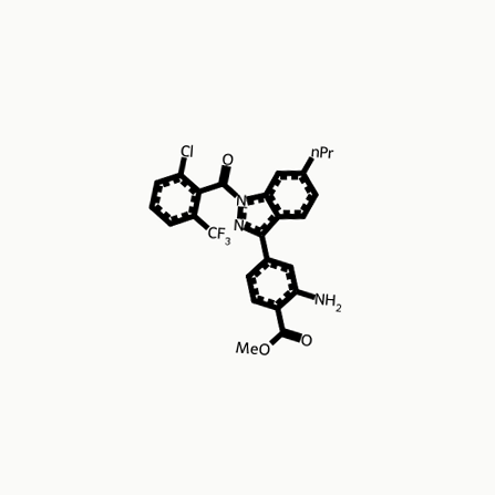 CCCc1ccc2c(-c3ccc(C(=O)OC)c(N)c3)nn(C(=O)c3c(Cl)cccc3C(F)(F)F)c2c1